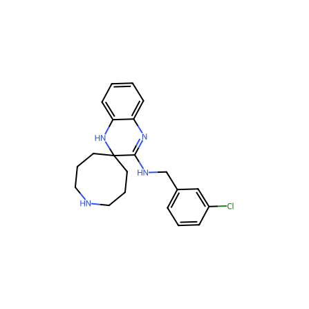 Clc1cccc(CNC2=Nc3ccccc3NC23CCCNCCC3)c1